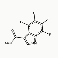 COC(=O)c1c[nH]c2c(F)c(F)c(F)c(F)c12